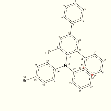 Fc1cc(-c2ccccc2)cc(-c2ccccc2)c1N(c1ccccc1)c1ccc(Br)cc1